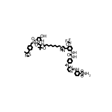 Cc1ncsc1-c1ccc(CNC(=O)[C@@H]2C[C@@H](O)CN2C(=O)C(NC(=O)CCCCCCCn2cc(-c3cc(NC(=O)Nc4ccc(N(C)c5ccnc(Nc6cccc(S(N)(=O)=O)c6)n5)cc4)ccc3OC(F)(F)F)nn2)C(C)(C)C)cc1